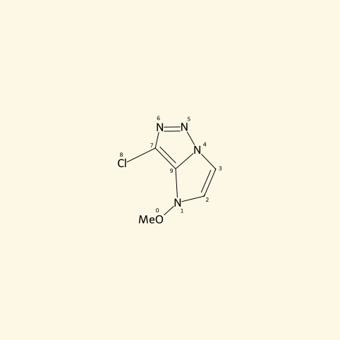 COn1ccn2nnc(Cl)c12